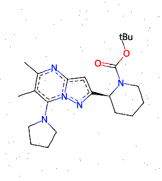 Cc1nc2cc([C@@H]3CCCCN3C(=O)OC(C)(C)C)nn2c(N2CCCC2)c1C